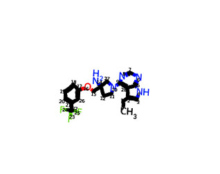 CCc1c[nH]c2ncnc(N3CCC(N)(COc4cccc(C(F)(F)F)c4)C3)c12